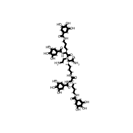 NCCN(C(=O)[C@H](CCCCNC(=O)c1cc(O)c(O)c(O)c1)NC(=O)c1cc(O)c(O)c(O)c1)[C@@H](CCCCNC(=O)[C@H](CCCCNC(=O)c1cc(O)c(O)c(O)c1)NC(=O)c1cc(O)c(O)c(O)c1)C(N)=O